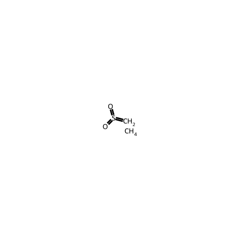 C.C=S(=O)=O